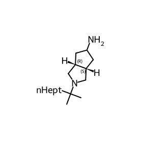 CCCCCCCC(C)(C)N1C[C@H]2CC(N)C[C@H]2C1